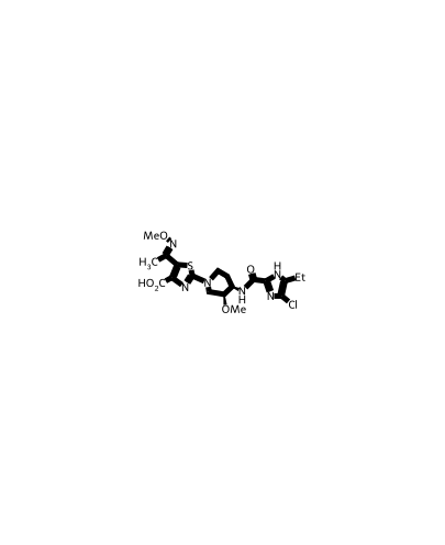 CCc1[nH]c(C(=O)N[C@@H]2CCN(c3nc(C(=O)O)c(/C(C)=N/OC)s3)C[C@@H]2OC)nc1Cl